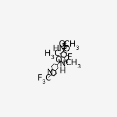 Cc1cc([C@@H](C)NC(=O)C2CCc3nc(C(F)(F)F)ccc3C2)c(F)cc1NS(C)(=O)=O